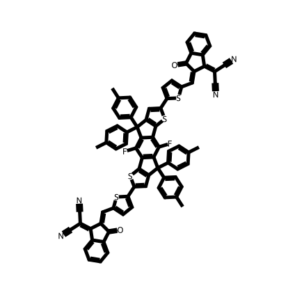 Cc1ccc(C2(c3ccc(C)cc3)c3cc(-c4ccc(/C=C5\C(=O)c6ccccc6C5=C(C#N)C#N)s4)sc3-c3c(F)c4c(c(F)c32)-c2sc(-c3ccc(/C=C5\C(=O)c6ccccc6C5=C(C#N)C#N)s3)cc2C4(c2ccc(C)cc2)c2ccc(C)cc2)cc1